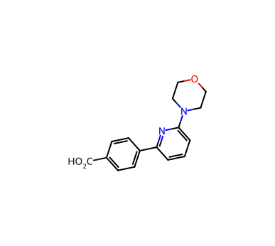 O=C(O)c1ccc(-c2cccc(N3CCOCC3)n2)cc1